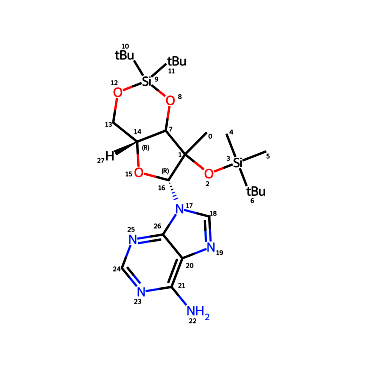 CC1(O[Si](C)(C)C(C)(C)C)C2O[Si](C(C)(C)C)(C(C)(C)C)OC[C@H]2O[C@H]1n1cnc2c(N)ncnc21